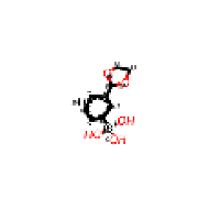 O[B-](O)(O)c1cccc(C2OCCO2)c1.[Li+]